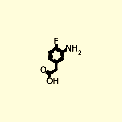 Nc1cc(CC(=O)O)ccc1F